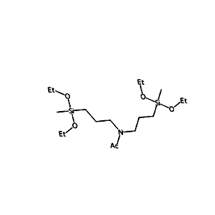 CCO[Si](C)(CCCN(CCC[Si](C)(OCC)OCC)C(C)=O)OCC